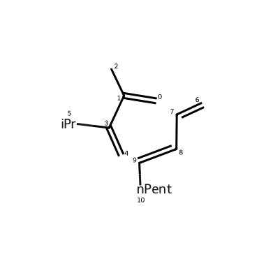 C=C(C)C(=C)C(C)C.C=CC=CCCCCC